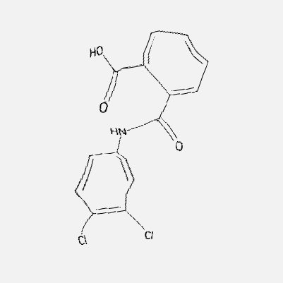 O=C(O)c1ccccc1C(=O)Nc1ccc(Cl)c(Cl)c1